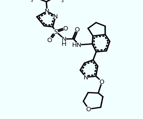 CC(C)n1ccc(S(=O)(=O)NC(=O)Nc2c(-c3ccnc(OC4CCOCC4)c3)ccc3c2CCC3)n1